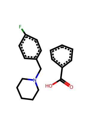 Fc1ccc(CN2CCCCC2)cc1.O=C(O)c1ccccc1